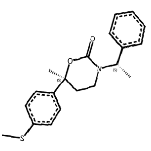 CSc1ccc([C@]2(C)CCN([C@@H](C)c3ccccc3)C(=O)O2)cc1